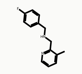 Cc1cccnc1CNCc1ccc(F)cc1